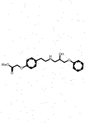 COC(=O)COc1ccc(CCNCC(O)COc2ccccc2)cc1